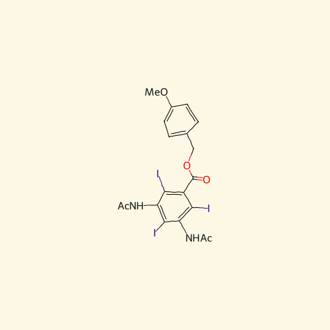 COc1ccc(COC(=O)c2c(I)c(NC(C)=O)c(I)c(NC(C)=O)c2I)cc1